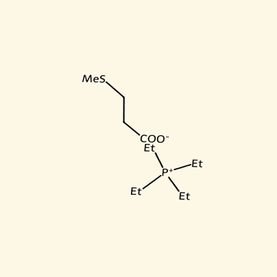 CC[P+](CC)(CC)CC.CSCCC(=O)[O-]